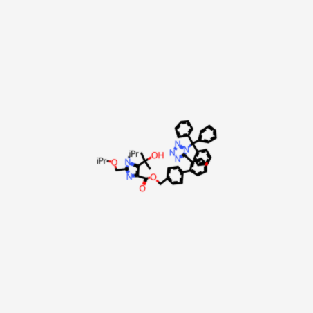 CC(C)OCc1nc(C(=O)OCc2ccc(-c3ccccc3-c3nnnn3C(c3ccccc3)(c3ccccc3)c3ccccc3)cc2)c(C(C)(C)O)n1C(C)C